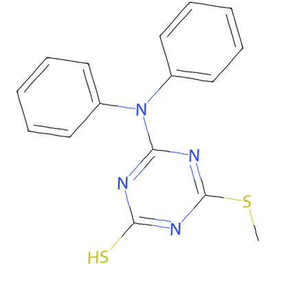 CSc1nc(S)nc(N(c2ccccc2)c2ccccc2)n1